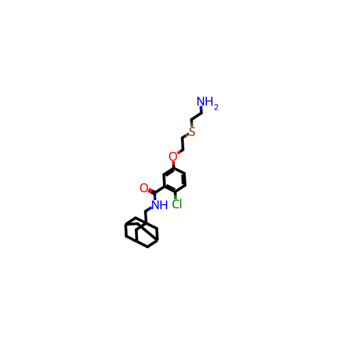 NCCSCCOc1ccc(Cl)c(C(=O)NCC23CC4CC(CC(C4)C2)C3)c1